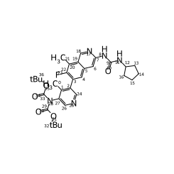 Cc1c(-c2cc3cc(NC(=O)NC4CCCC4)ncc3c(C)c2F)cncc1N(C(=O)OC(C)(C)C)C(=O)OC(C)(C)C